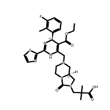 CCOC(=O)C1=C(CN2CCN3C(=O)N(CC(C)(C)C(=O)O)C[C@@H]3C2)NC(c2nccs2)=N[C@H]1c1cccc(F)c1C